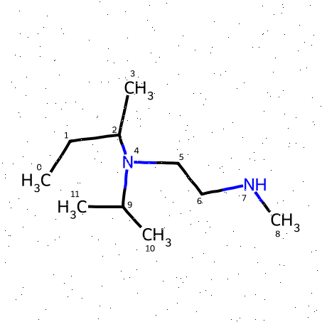 CCC(C)N(CCNC)C(C)C